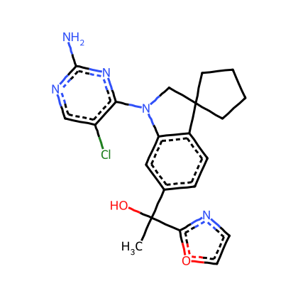 CC(O)(c1ccc2c(c1)N(c1nc(N)ncc1Cl)CC21CCCC1)c1ncco1